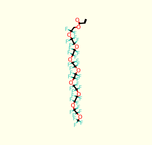 C=CC(=O)OCC(F)(F)OC(F)(F)C(F)(F)OC(F)(F)C(F)(F)OC(F)(F)C(F)(F)OC(F)(F)C(F)(F)OC(F)(F)C(F)(F)OC(F)(F)C(F)(F)OC(F)(F)C(F)(F)OC(F)(F)F